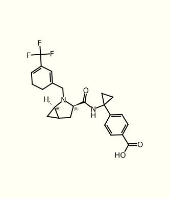 O=C(O)c1ccc(C2(NC(=O)[C@H]3CC4C[C@H]4N3CC3=CC(C(F)(F)F)=CCC3)CC2)cc1